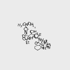 CCC(=O)N[C@@H](C(=O)N1CC(N(C)C)C1)[C@@H](C)c1ccc(NC(=O)[C@](C)(NC(=O)c2ccnn2CC)C2CCCCCC2)c(F)c1